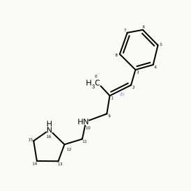 C/C(=C\c1ccccc1)CNCC1CCCN1